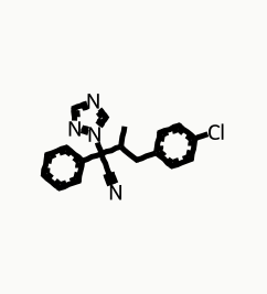 CC(Cc1ccc(Cl)cc1)C(C#N)(c1ccccc1)n1cncn1